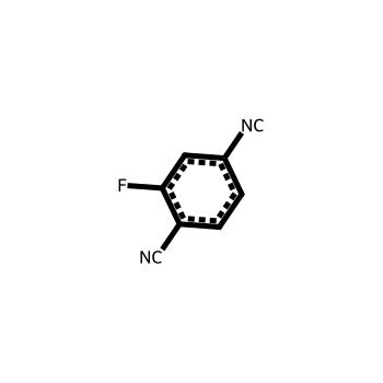 [C-]#[N+]c1ccc(C#N)c(F)c1